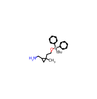 CC1(CCO[Si](c2ccccc2)(c2ccccc2)C(C)(C)C)CC1CN